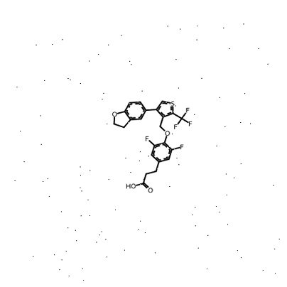 O=C(O)CCc1cc(F)c(OCc2c(-c3ccc4c(c3)CCO4)csc2C(F)(F)F)c(F)c1